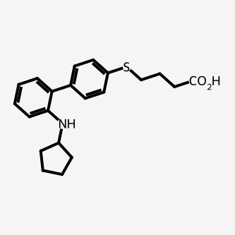 O=C(O)CCCSc1ccc(-c2ccccc2NC2CCCC2)cc1